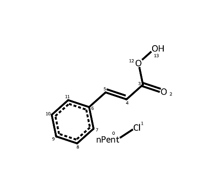 CCCCCCl.O=C(C=Cc1ccccc1)OO